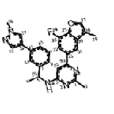 Cc1nc(N[C@@H](C)c2cccc(-c3cnn(C)c3)c2)cc(-c2cc(F)c3occ(C)c3c2)n1